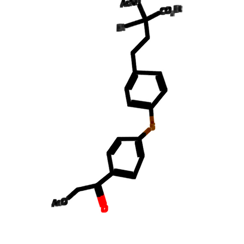 CCOC(=O)C(CC)(CCc1ccc(Sc2ccc(C(=O)COC(C)=O)cc2)cc1)NC(C)=O